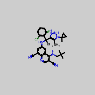 BC1=C(C(B)(Nc2cc(C#N)c3ncc(C#N)c(NCC(C)(C)C)c3c2)c2c(F)cccc2Cl)NNN1C1(C)CC1